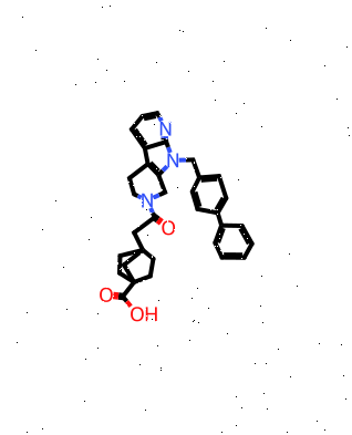 O=C(CC12CCC(C(=O)O)(CC1)C2)N1CCc2c(n(Cc3ccc(-c4ccccc4)cc3)c3ncccc23)C1